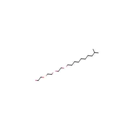 CC(C)CCCCCCCCOCCOCCOCCO